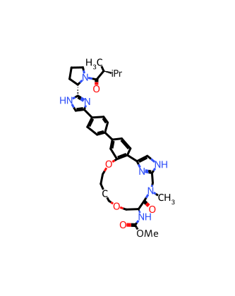 COC(=O)N[C@H]1COCCCCOc2cc(-c3ccc(-c4c[nH]c([C@@H]5CCCN5C(=O)[C@@H](C)C(C)C)n4)cc3)ccc2-c2c[nH]c(n2)CN(C)C1=O